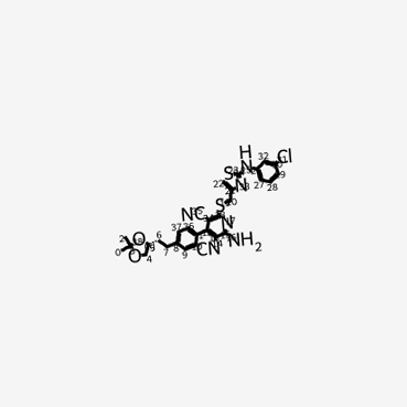 CC1(C)OC[C@@H](CCc2ccc(-c3c(C#N)c(N)nc(SCc4csc(Nc5cccc(Cl)c5)n4)c3C#N)cc2)O1